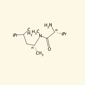 CC(C)C(C)C[C@@H](C)N(C)C(=O)[C@H](N)C(C)C